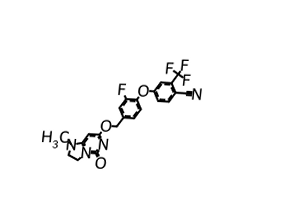 CN1CCn2c1cc(OCc1ccc(Oc3ccc(C#N)c(C(F)(F)F)c3)c(F)c1)nc2=O